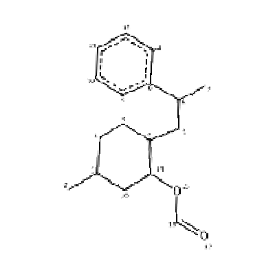 CC1CCC(CC(C)c2ccccc2)C(OC=O)C1